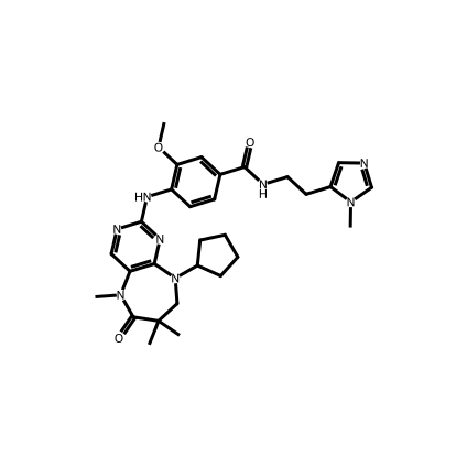 COc1cc(C(=O)NCCc2cncn2C)ccc1Nc1ncc2c(n1)N(C1CCCC1)CC(C)(C)C(=O)N2C